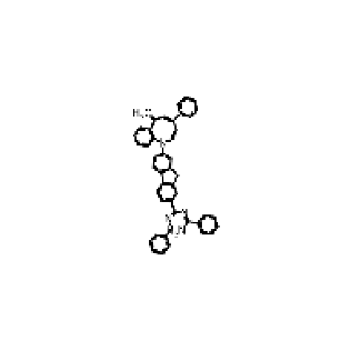 C=C1/C=C(c2ccccc2)\C=C/N(c2ccc3c(c2)Cc2cc(C(/N=C(\N)c4ccccc4)=N/Cc4ccccc4)ccc2-3)c2ccccc21